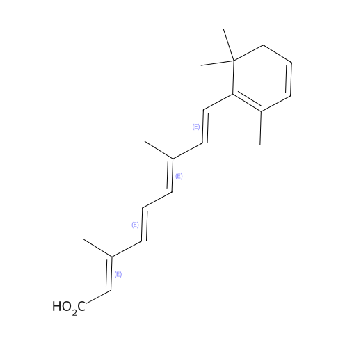 CC1=C(/C=C/C(C)=C/C=C/C(C)=C/C(=O)O)C(C)(C)CC=C1